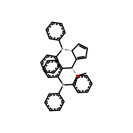 CN(C)[C@@H](C1=CC=C[C@H]1P(c1ccccc1)c1ccccc1)c1ccccc1P(c1ccccc1)c1ccccc1